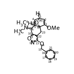 COC1=C[C@H]2C[C@H]3[C@H](N(C)C)c4onc(OCc5ccccc5)c4C[C@@]13O2